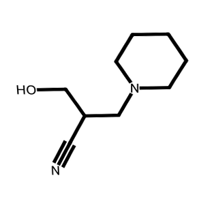 N#CC(CO)CN1CCCCC1